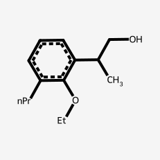 CCCc1cccc([C](C)CO)c1OCC